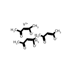 CC(=O)/C=C(/C)[O-].CC(=O)/C=C(/C)[O-].CC(=O)/C=C(/C)[O-].[V+3]